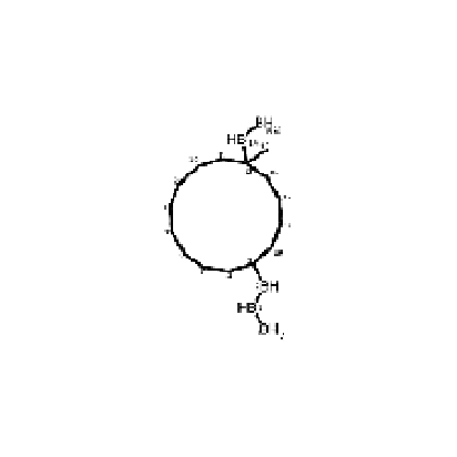 BBBC1CCCCCCCCC(C)(BB)CCCC1